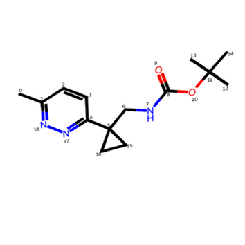 Cc1ccc(C2(CNC(=O)OC(C)(C)C)CC2)nn1